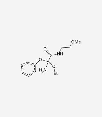 CCOC(N)(Oc1ccccc1)C(=O)NCCOC